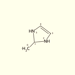 [CH2]C1NC=CN1